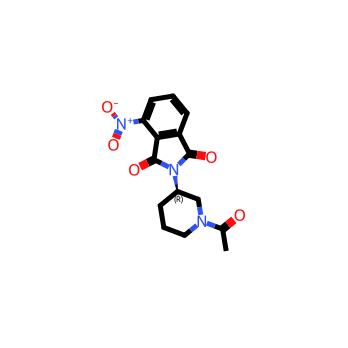 CC(=O)N1CCC[C@@H](N2C(=O)c3cccc([N+](=O)[O-])c3C2=O)C1